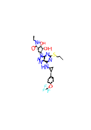 CCCSc1nc(NC2CC2c2ccc(OC(F)(F)F)cc2)c2nnn([C@H]3C[C@@H](C(=O)NCC)[C@H](O)[C@@H]3O)c2n1